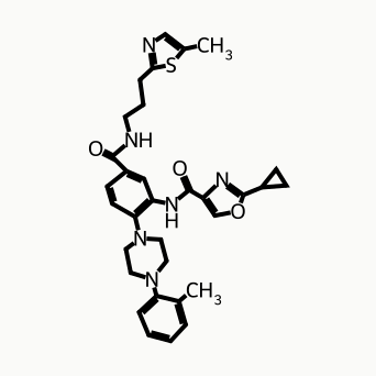 Cc1cnc(CCCNC(=O)c2ccc(N3CCN(c4ccccc4C)CC3)c(NC(=O)c3coc(C4CC4)n3)c2)s1